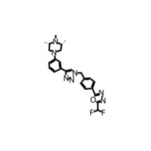 C[C@@H]1CN(c2cccc(-c3cn(Cc4ccc(-c5nnc(C(F)F)o5)cc4)nn3)c2)C[C@H](C)N1C